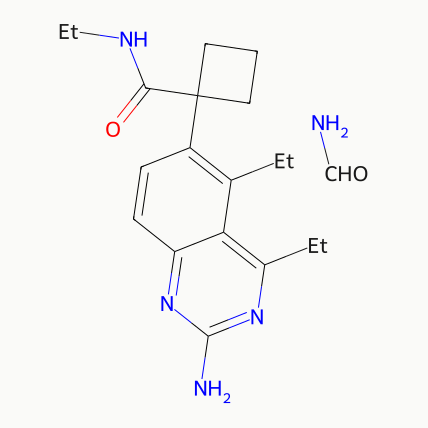 CCNC(=O)C1(c2ccc3nc(N)nc(CC)c3c2CC)CCC1.NC=O